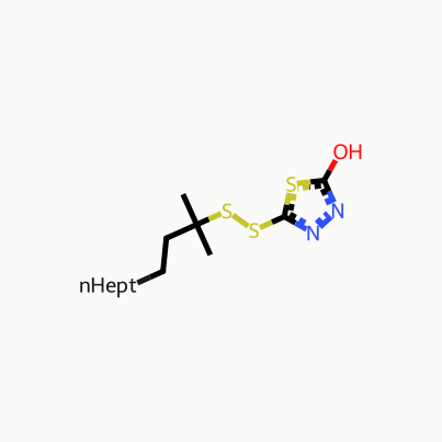 CCCCCCCCCC(C)(C)SSc1nnc(O)s1